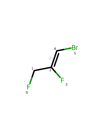 FC/C(F)=C/Br